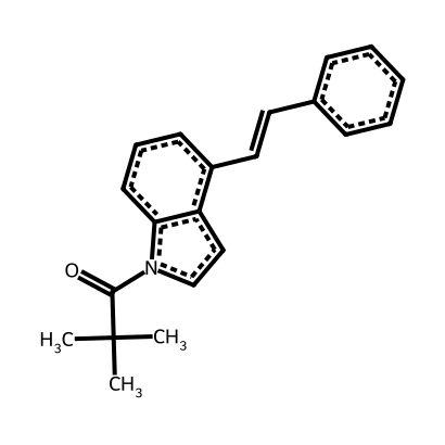 CC(C)(C)C(=O)n1ccc2c(C=Cc3ccccc3)cccc21